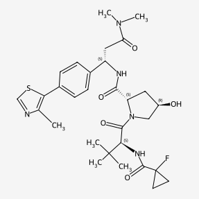 Cc1ncsc1-c1ccc([C@H](CC(=O)N(C)C)NC(=O)[C@@H]2C[C@@H](O)CN2C(=O)[C@@H](NC(=O)C2(F)CC2)C(C)(C)C)cc1